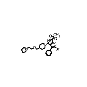 CS(=O)(=O)n1nc(N2CCC(COCCN3CCCC3)CC2)c2c(-c3ccccc3)c(Br)sc21